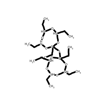 CC[SiH]1O[SiH](CC)O[Si](CC)(S[Si]2(CC)O[SiH](CC)O[SiH](CC)O[SiH](CC)O2)O[SiH](CC)O1